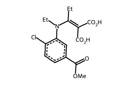 CCC(=C(C(=O)O)C(=O)O)N(CC)c1cc(C(=O)OC)ccc1Cl